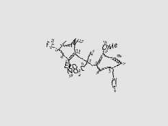 CCOC(=O)C(C)(c1cc(Cl)ccc1OC)c1ncc(C(F)(F)F)cc1[N+](=O)[O-]